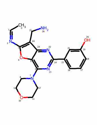 C/C=N\c1oc2c(N3CCOCC3)nc(-c3cccc(O)c3)nc2c1CN